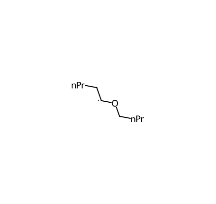 CCCC[CH]OCCCC